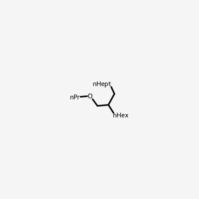 [CH2]CCCCCC(CCCCCCCC)COCCC